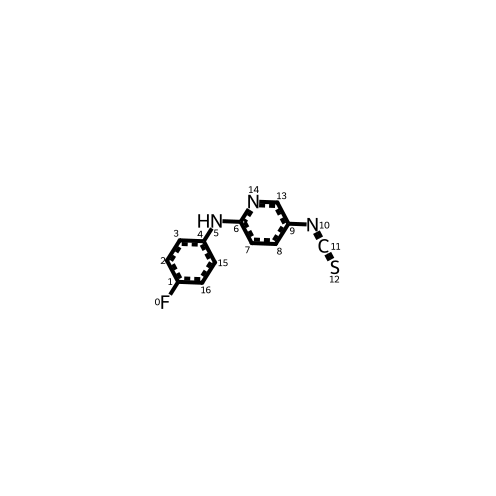 Fc1ccc(Nc2ccc(N=C=S)cn2)cc1